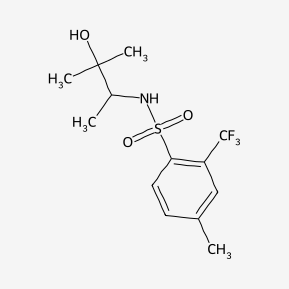 Cc1ccc(S(=O)(=O)NC(C)C(C)(C)O)c(C(F)(F)F)c1